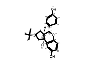 CC(C)(C)[C@H]1C[C@@H]2[C@H](C1)c1cc(O)ccc1O[C@@H]2c1ccc(O)cc1